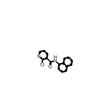 O=C(Nc1cccc2ccccc12)c1cccnc1Cl